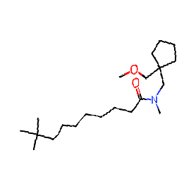 COCC1(CN(C)C(=O)CCCCCCCC(C)(C)C)CCCC1